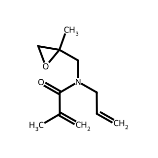 C=CCN(CC1(C)CO1)C(=O)C(=C)C